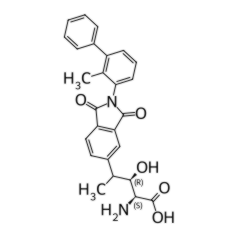 Cc1c(-c2ccccc2)cccc1N1C(=O)c2ccc(C(C)[C@@H](O)[C@H](N)C(=O)O)cc2C1=O